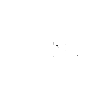 Clc1ccc2c(c1)CC[C@H]1[C@H]2N=C2SCCN21